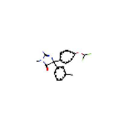 CCCCCCc1cccc(C2(c3ccc(OC(F)F)cc3)N=C(N)N(C)C2=O)c1